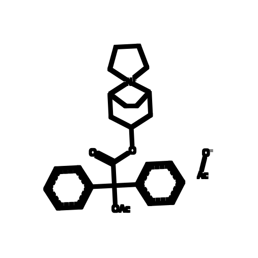 CC(=O)OC(C(=O)OC1CC2CCC(C1)[N+]21CCCC1)(c1ccccc1)c1ccccc1.CC(=O)[O-]